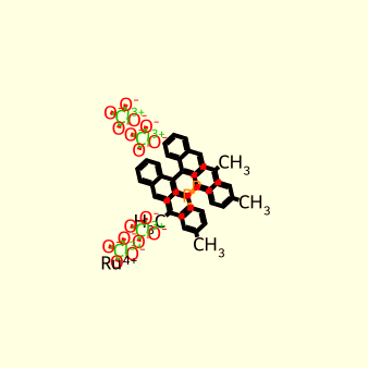 Cc1ccc(P(c2ccc(C)cc2)c2ccc3ccccc3c2-c2c(P(c3ccc(C)cc3)c3ccc(C)cc3)ccc3ccccc23)cc1.[O-][Cl+3]([O-])([O-])[O-].[O-][Cl+3]([O-])([O-])[O-].[O-][Cl+3]([O-])([O-])[O-].[O-][Cl+3]([O-])([O-])[O-].[Ru+4]